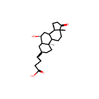 CC12CCC3C(C[C@H](O)C4C/C(=C/CCC(=O)O)CC[C@]34C)C1CCC2=O